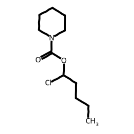 CCCCC(Cl)OC(=O)N1CCCCC1